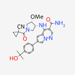 CO[C@H]1CN(C(=O)C2(C#N)CC2)C[C@H]1Nc1c(C(N)=O)cnn2cc(-c3ccc(C(C)(C)O)cc3)cc12